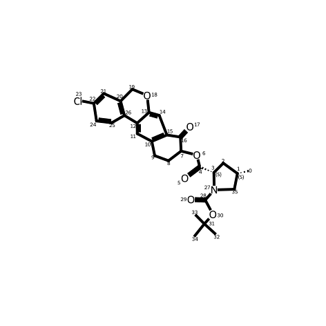 C[C@H]1C[C@@H](C(=O)OC2CCc3cc4c(cc3C2=O)OCc2cc(Cl)ccc2-4)N(C(=O)OC(C)(C)C)C1